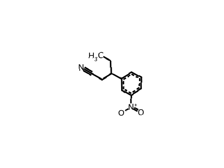 CCC(CC#N)c1cccc([N+](=O)[O-])c1